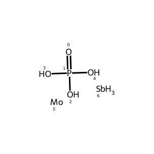 O=P(O)(O)O.[Mo].[SbH3]